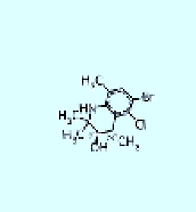 Cc1cc(Br)c(Cl)c2c1NC(C)(C)[C@H](O)[C@H]2C